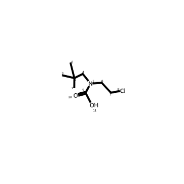 CC(C)(C)CN(CCCl)C(=O)O